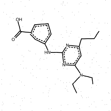 CCCc1cc(N(CC)CC)nc(Nc2cccc(C(=O)O)c2)n1